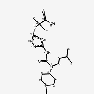 CC(C)CCN(C(=O)Nc1nnc(SC(C)(C)C(=O)O)s1)[C@H]1CC[C@H](C)CC1